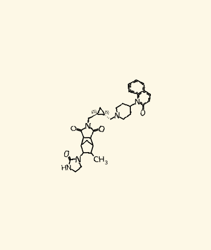 CC1C2CC(C3C(=O)N(C[C@H]4C[C@@H]4CN4CCC(n5c(=O)ccc6ccccc65)CC4)C(=O)C23)C1N1CCNC1=O